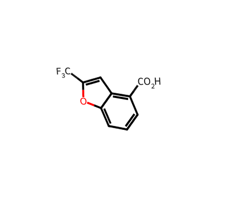 O=C(O)c1cccc2oc(C(F)(F)F)cc12